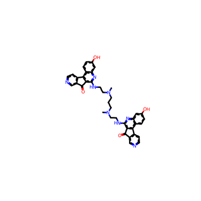 CN(CCCN(C)CCNc1nc2cc(O)ccc2c2c1C(=O)c1cnccc1-2)CCNc1nc2cc(O)ccc2c2c1C(=O)c1cnccc1-2